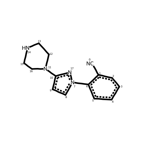 N#Cc1ccccc1-n1ccc(N2CCNCC2)n1